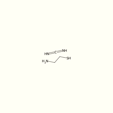 N=C=N.NCCS